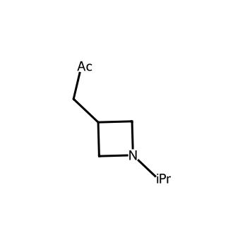 CC(=O)CC1CN(C(C)C)C1